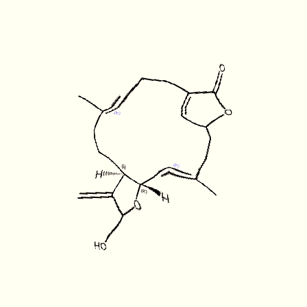 C=C1C(O)O[C@H]2/C=C(\C)CC3C=C(CC/C=C(\C)CC[C@H]12)C(=O)O3